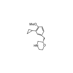 COc1ccc(C[C@@H]2CNCCO2)cc1C1CC1